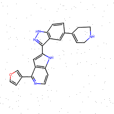 C1=C(c2ccc3[nH]nc(-c4cc5c(-c6ccoc6)nccc5[nH]4)c3c2)CCNC1